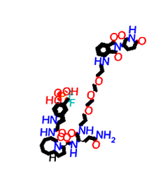 NC(=O)CC[C@H](NC(=O)[C@@H]1CC[C@@H]2CCCC[C@H](NC(=O)c3cc4cc(C(F)(F)P(=O)(O)O)ccc4[nH]3)C(=O)N21)C(=O)NCCCOCCOCCOCCCNc1cccc2c1C(=O)N(C1CCC(=O)NC1=O)C2=O